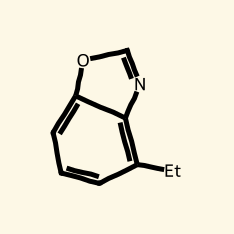 [CH2]Cc1cccc2ocnc12